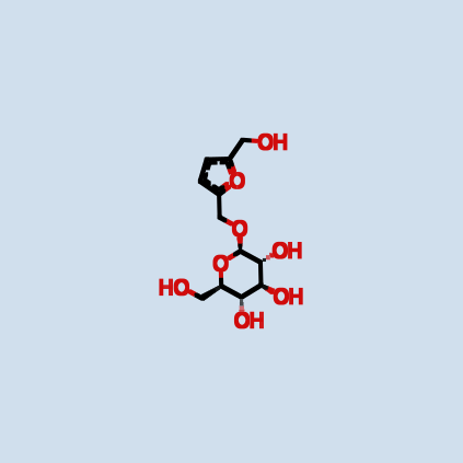 OCc1ccc(CO[C@@H]2O[C@H](CO)[C@@H](O)[C@H](O)[C@H]2O)o1